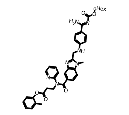 CCCCCCOC(=O)/N=C(\N)c1ccc(NCc2nc3cc(C(=O)N(CCC(=O)Oc4ccccc4C)c4ccccn4)ccc3n2C)cc1